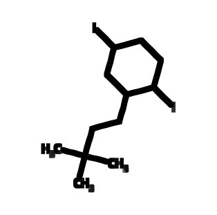 CC(C)(C)CCC1CC(I)CCC1I